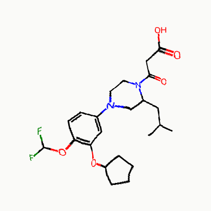 CC(C)CC1CN(c2ccc(OC(F)F)c(OC3CCCC3)c2)CCN1C(=O)CC(=O)O